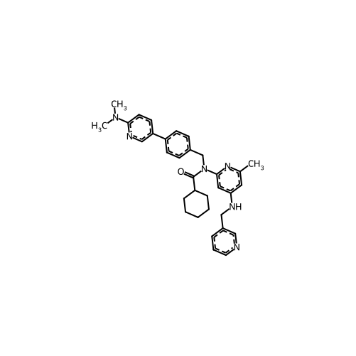 Cc1cc(NCc2cccnc2)cc(N(Cc2ccc(-c3ccc(N(C)C)nc3)cc2)C(=O)C2CCCCC2)n1